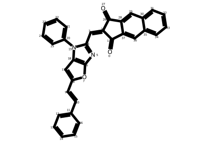 O=C1C(=Cc2nc3oc(/C=C/c4ccccc4)cc3n2-c2ccccc2)C(=O)c2cc3ccccc3cc21